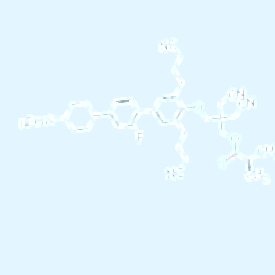 C=C(C)C(=O)OCC(CC#N)(CC#N)COc1c(CCCC#N)cc(-c2ccc(C3CCC(CCCCC)CC3)cc2F)cc1CCCC#N